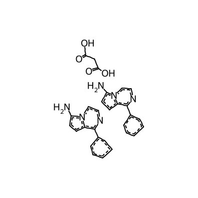 Nc1ccc2c(-c3ccccc3)nccn12.Nc1ccc2c(-c3ccccc3)nccn12.O=C(O)CC(=O)O